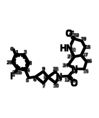 Cc1ccc(CC2CC3(C2)CN(C(=O)N2CCC4CCC(=O)NC4C2)C3)c(F)c1